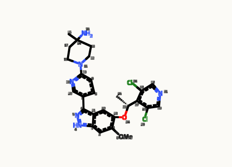 COc1cc2[nH]nc(-c3ccc(N4CCC(C)(N)CC4)nc3)c2cc1O[C@H](C)c1c(Cl)cncc1Cl